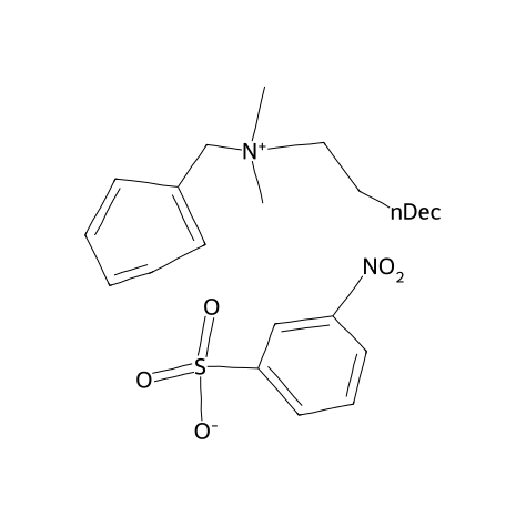 CCCCCCCCCCCC[N+](C)(C)Cc1ccccc1.O=[N+]([O-])c1cccc(S(=O)(=O)[O-])c1